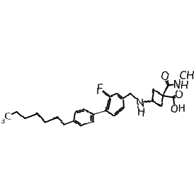 CCCCCCCc1ccc(-c2ccc(CNC3CC(C(=O)O)(C(=O)NC)C3)cc2F)cc1